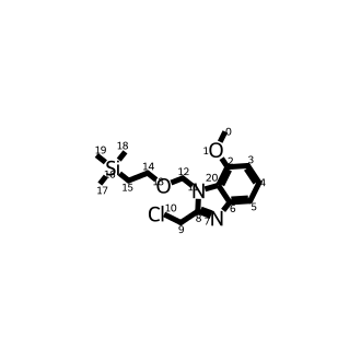 COc1cccc2nc(CCl)n(COCC[Si](C)(C)C)c12